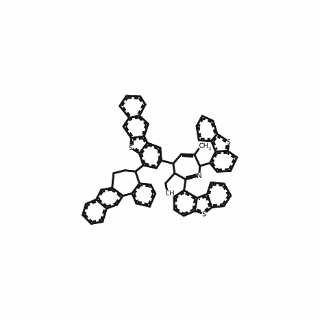 CCC1C(c2cccc3sc4ccccc4c23)=NC(c2cccc3sc4ccccc4c23)C(C)=CC1c1cc(C2CCc3cc4ccccc4cc3-c3ccccc32)c2sc3cc4ccccc4cc3c2c1